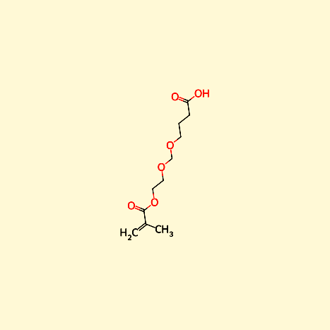 C=C(C)C(=O)OCCOCOCCCC(=O)O